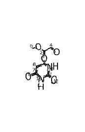 COC(=O)C=O.O=c1cc[nH]c(=O)[nH]1